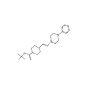 CC(C)(C)OC(=O)N1CCC(CCN2CCN(c3ccncc3)CC2)CC1